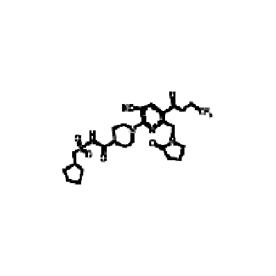 N#Cc1cc(C(=O)CCC(F)(F)F)c(CN2CCCC2=O)nc1N1CCC(C(=O)NS(=O)(=O)CC2CCCC2)CC1